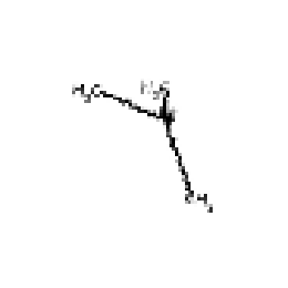 CCCCCCCCCCCCCCCCCn1cc[n+](CCCCC)c1CCCCCCCCCCCCCCC